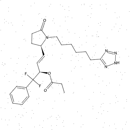 CCC(=O)O[C@H](/C=C/[C@H]1CCC(=O)N1CCCCCCc1nn[nH]n1)C(F)(F)c1ccccc1